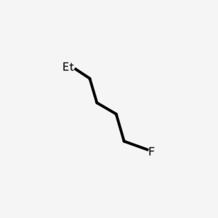 CCCCCCF